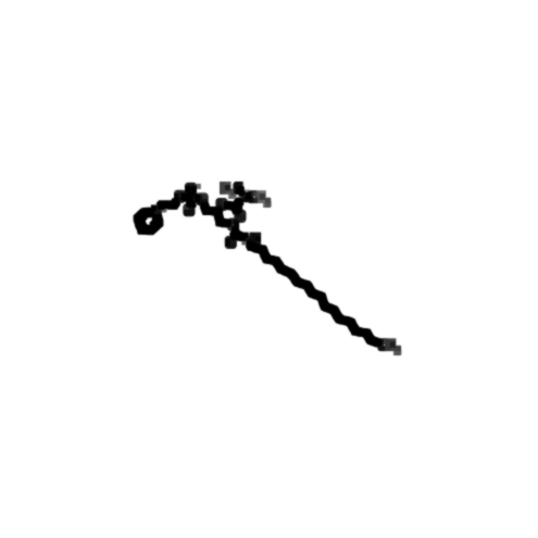 CCCCCCCCCCCCCCCCCCNC(=O)OCC(COP(=O)([O-])OCC[n+]1ccccc1)OC(=O)N(C)C